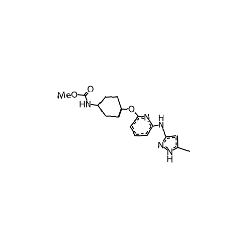 COC(=O)NC1CCC(Oc2cccc(Nc3cc(C)[nH]n3)n2)CC1